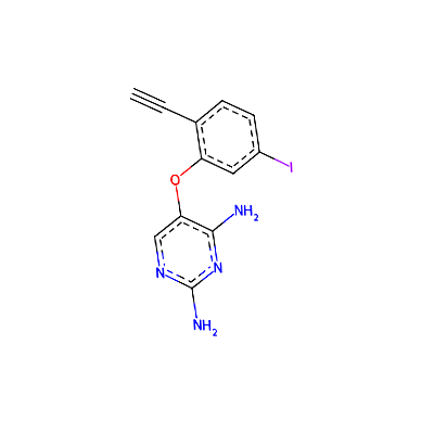 C#Cc1ccc(I)cc1Oc1cnc(N)nc1N